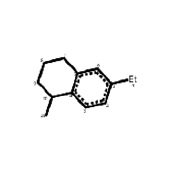 CCc1ccc2c(c1)CCCC2C